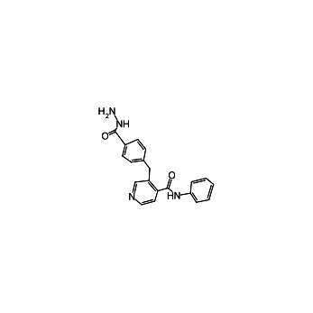 NNC(=O)c1ccc(Cc2cnccc2C(=O)Nc2ccccc2)cc1